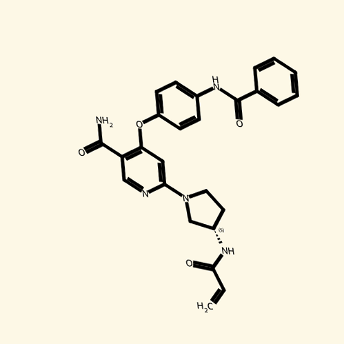 C=CC(=O)N[C@H]1CCN(c2cc(Oc3ccc(NC(=O)c4ccccc4)cc3)c(C(N)=O)cn2)C1